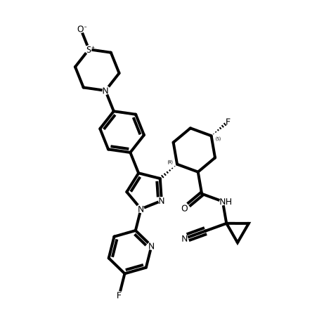 N#CC1(NC(=O)C2C[C@@H](F)CC[C@H]2c2nn(-c3ccc(F)cn3)cc2-c2ccc(N3CC[S+]([O-])CC3)cc2)CC1